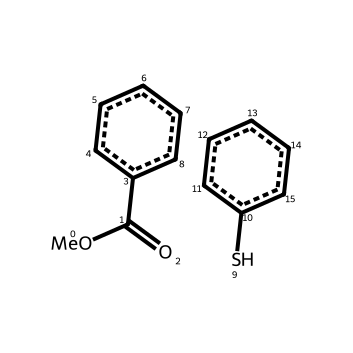 COC(=O)c1ccccc1.Sc1ccccc1